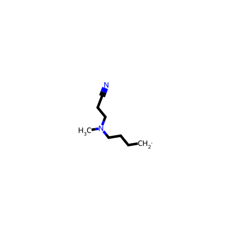 [CH2]CCCN(C)CCC#N